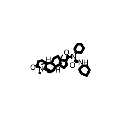 CN1C(=O)CC[C@@]2(C)C1=CC[C@@H]1[C@H]2CC[C@]2(C)C(C(=O)N(C(=O)NC3CCCCC3)C3CCCCC3)CC[C@@H]12